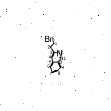 BrCCc1cc2ccccc2cn1